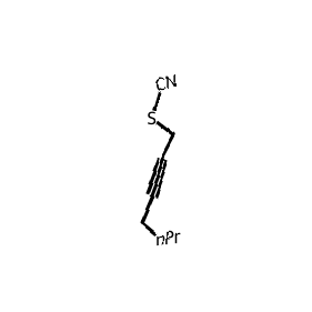 CCCCC#CCSC#N